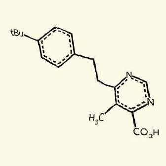 Cc1c(CCc2ccc(C(C)(C)C)cc2)ncnc1C(=O)O